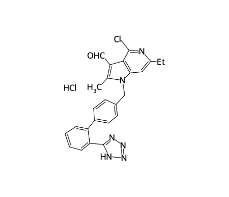 CCc1cc2c(c(Cl)n1)c(C=O)c(C)n2Cc1ccc(-c2ccccc2-c2nnn[nH]2)cc1.Cl